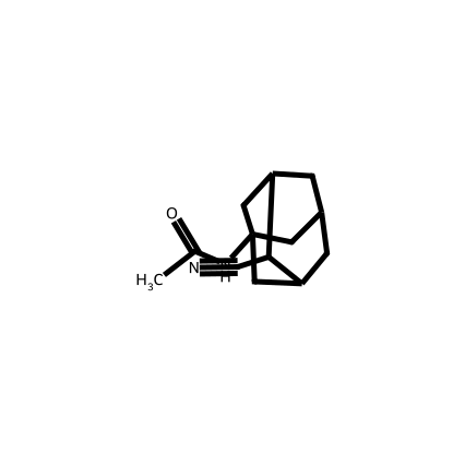 CC(=O)NC12CC3CC(C1)C(C#N)C(C3)C2